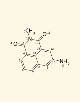 CN1C(=O)c2cccc3cc(N)cc(c23)C1=O